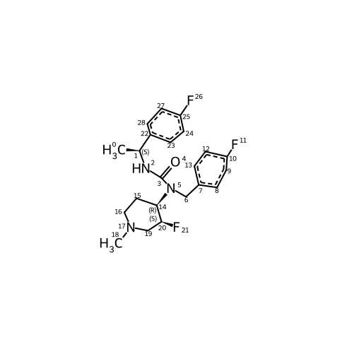 C[C@H](NC(=O)N(Cc1ccc(F)cc1)[C@@H]1CCN(C)C[C@@H]1F)c1ccc(F)cc1